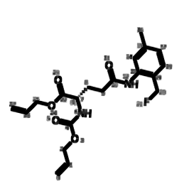 C=CCOC(=O)N[C@@H](CCC(=O)Nc1cc(C)ccc1CF)C(=O)OCC=C